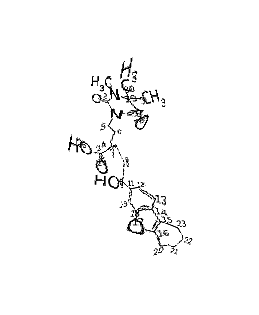 CN1C(=O)N(CCC(CC(O)c2ccc3c4c(oc3c2)CCCC4)C(=O)O)C(=O)C1(C)C